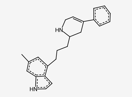 Cc1cc(CCCC2CC(c3ccccc3)=CCN2)c2cc[nH]c2c1